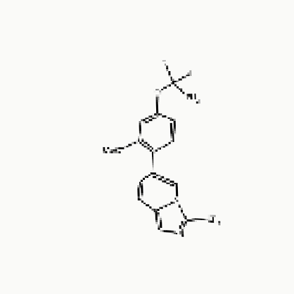 COc1cc(OC(F)(F)P)ccc1-c1ccc2cnc(C(F)(F)F)n2c1